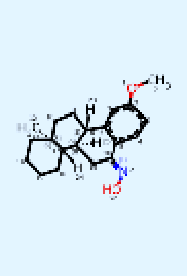 COc1[c]cc2c(c1)[C@H]1CC[C@]3(C)CCCC[C@H]3[C@@H]1C/C2=N\O